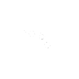 COc1cccc(-c2cc(-c3ccc(N)cc3)n[nH]2)c1